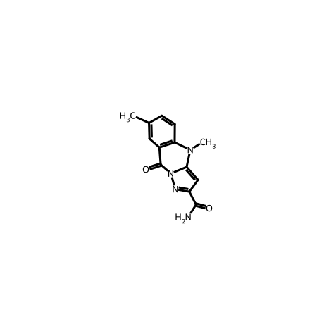 Cc1ccc2c(c1)c(=O)n1nc(C(N)=O)cc1n2C